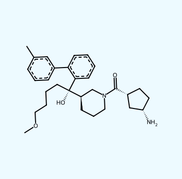 COCCCC[C@@](O)(c1ccccc1-c1cccc(C)c1)[C@@H]1CCCN(C(=O)[C@@H]2CC[C@H](N)C2)C1